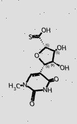 Cn1cc([C@@H]2O[C@H](C(O)=S)[C@@H](O)[C@H]2O)c(=O)[nH]c1=O